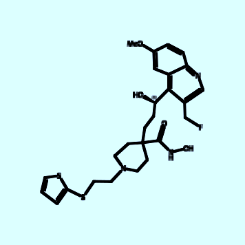 COc1ccc2ncc(CF)c([C@H](O)CCC3(C(=O)NO)CCN(CCSc4cccs4)CC3)c2c1